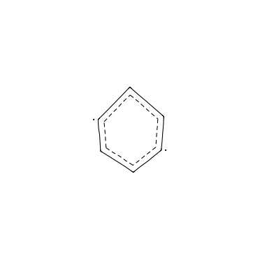 [c]1cc[c]cc1